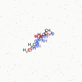 COc1ccc2sc(Nc3nnc4c(c3C)CCCN4c3ccc(/C(C=N)=C(\C)NCC4CC5(C)CC6(C)CC4CC(OCCN4CCCC4)(C5)C6)c(C(=O)O)n3)nc2c1